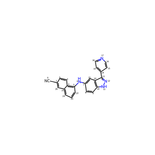 N#Cc1ccc2c(Nc3ccc4[nH]nc(-c5ccncc5)c4c3)cccc2c1